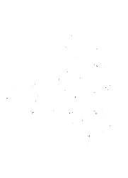 Cc1cc(C)c(C(=O)N2CCOC(c3ccccc3)C2)cc1CN1CCN(c2ccccc2C#N)CC1